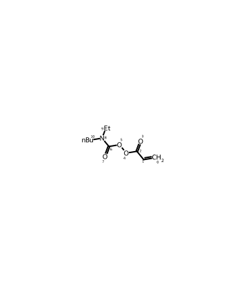 C=CC(=O)OOC(=O)N(CC)CCCC